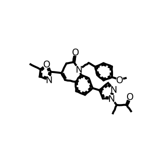 COc1ccc(CN2C(=O)CC(c3ncc(C)o3)=Cc3ccc(-c4cnn(C(C)C(C)=O)c4)cc32)cc1